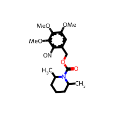 COc1cc(COC(=O)N2C(C)CCCC2C)c(N=O)c(OC)c1OC